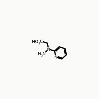 NN(CC(=O)O)c1ccccn1